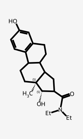 CCN(CC)C(=O)C1CC2C3CCc4cc(O)ccc4C3CC[C@]2(C)[C@H]1O